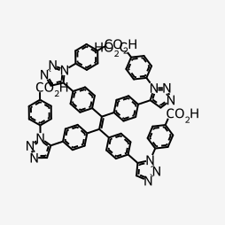 O=C(O)c1ccc(-n2nncc2-c2ccc(C(=C(c3ccc(-c4cnnn4-c4ccc(C(=O)O)cc4)cc3)c3ccc(-c4cnnn4-c4ccc(C(=O)O)cc4)cc3)c3ccc(-c4cnnn4-c4ccc(C(=O)O)cc4)cc3)cc2)cc1